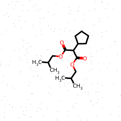 CC(C)COC(=O)C(C(=O)OCC(C)C)C1CCCC1